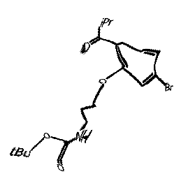 CC(C)C(=O)c1ccc(Br)cc1OCCNC(=O)OC(C)(C)C